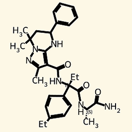 CCc1ccc([C@](CC)(NC(=O)c2c(C)nn3c2NC(c2ccccc2)CC3(C)C)C(=O)N[C@@H](C)C(N)=O)cc1